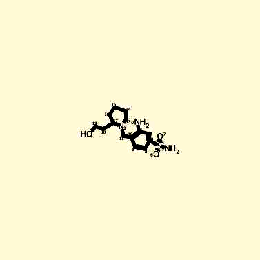 Nc1cc(S(N)(=O)=O)ccc1CN1CCCCC1CCO